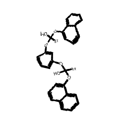 CCC(O)(Oc1cccc(OC(O)(CC)Oc2cccc3ccccc23)c1)Oc1cccc2ccccc12